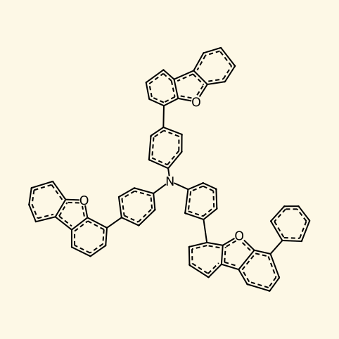 c1ccc(-c2cccc3c2oc2c(-c4cccc(N(c5ccc(-c6cccc7c6oc6ccccc67)cc5)c5ccc(-c6cccc7c6oc6ccccc67)cc5)c4)cccc23)cc1